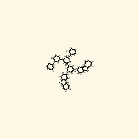 c1ccc(-c2nc(-c3cccc(-c4ccncc4)c3)cc(-c3cc(-c4ccc5sc6ccccc6c5c4)cc(-c4ccc5sc6ccccc6c5c4)c3)n2)cc1